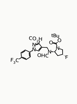 CC(C)(C)OC(=O)N1C[C@H](F)C[C@H]1N(C=O)Cc1cn(-c2ccc(C(F)(F)F)cc2)nc1C(=O)O